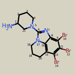 NC1CCCN(c2nc3c(Br)c(Br)c(Br)c4c3n2CCC4)C1